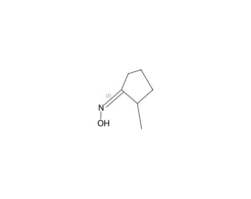 CC1CCC/C1=N/O